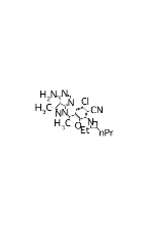 CCCC1CN(c2c(C#N)c(Cl)cc(C(C)n3nc(C)c4c(N)ncnc43)c2OCC)C1